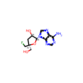 Nc1ncnc2c1ncn2[C@@H]1O[C@@](CO)(CF)C[C@H]1O